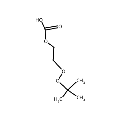 CC(C)(C)OOCCOC(=O)O